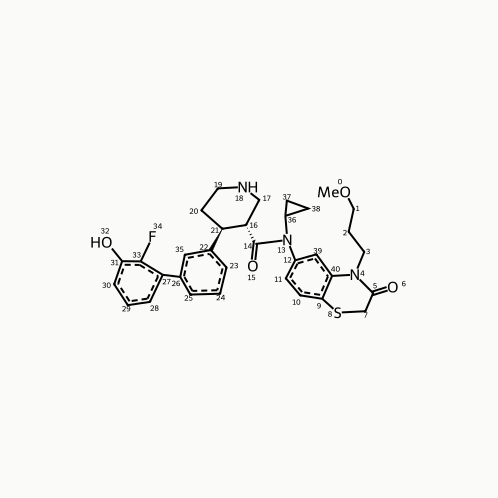 COCCCN1C(=O)CSc2ccc(N(C(=O)[C@H]3CNCC[C@@H]3c3cccc(-c4cccc(O)c4F)c3)C3CC3)cc21